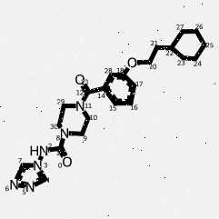 O=C(Nn1cnnc1)N1CCN(C(=O)c2cccc(OCCC3CCCCC3)c2)CC1